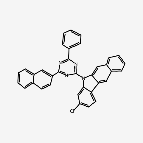 Clc1ccc2c3cc4ccccc4cc3n(-c3nc(-c4ccccc4)nc(-c4ccc5ccccc5c4)n3)c2c1